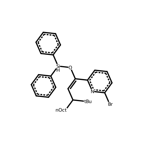 CCCCCCCCC(/C=C(/O[SiH](c1ccccc1)c1ccccc1)c1cccc(Br)n1)C(C)(C)C